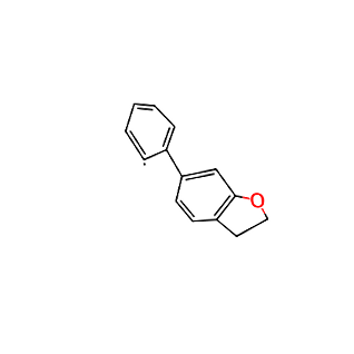 [c]1ccccc1-c1ccc2c(c1)OCC2